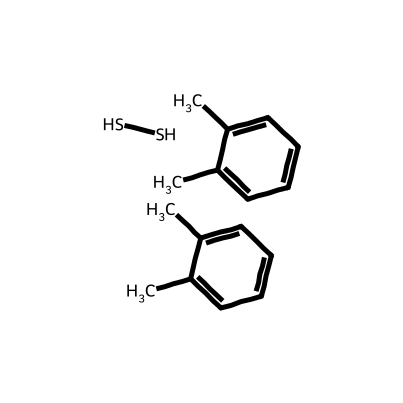 Cc1ccccc1C.Cc1ccccc1C.SS